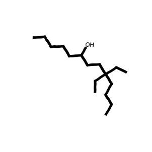 CCCCCC(O)CCC(CC)(CC)CCCC